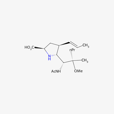 CC=C[C@@H]1C[C@H](C(=O)O)N[C@H]1[C@@H](NC(C)=O)[C@](C)(CCC)OC